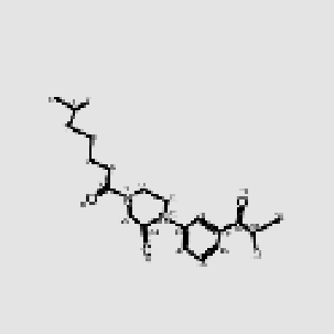 CC(C)CCCCC(=O)N1CCN(c2cccc(C(=O)C(C)C)c2)C(=O)C1